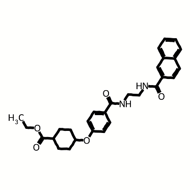 CCOC(=O)C1CCC(Oc2ccc(C(=O)NCCNC(=O)c3ccc4ccccc4c3)cc2)CC1